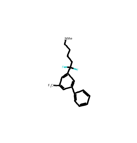 CNCCCCC(F)(F)c1cc(-c2ccccc2)cc(C(F)(F)F)c1